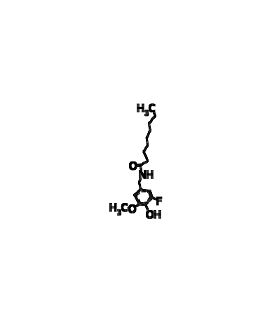 CCCCCCCCC(=O)NCc1cc(F)c(O)c(OC)c1